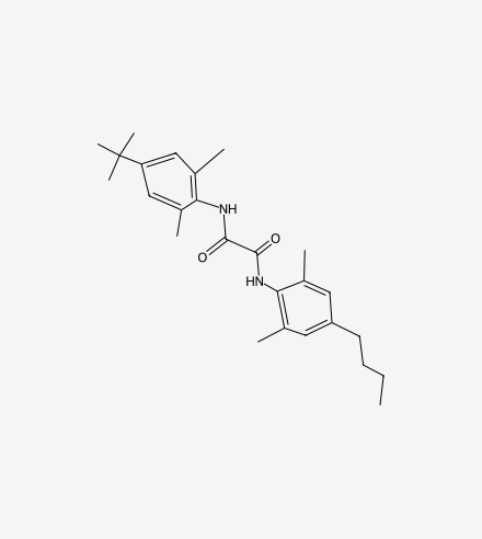 CCCCc1cc(C)c(NC(=O)C(=O)Nc2c(C)cc(C(C)(C)C)cc2C)c(C)c1